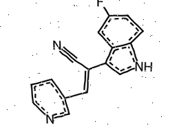 N#CC(=Cc1cccnc1)c1c[nH]c2ccc(F)cc12